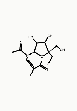 CC(=S)/C(F)=C\N(C(C)=S)[C@@H]1O[C@@](CO)(CF)C(O)[C@@H]1O